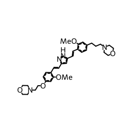 COc1cc(CCCN2CCOCC2)ccc1/C=C/c1cc(/C=C/c2ccc(OCCN3CCOCC3)cc2OC)n[nH]1